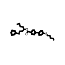 CCCCCSc1ccc(-c2ccc(C(=O)OC(CCCC)CCCc3ccccc3)cc2)cc1